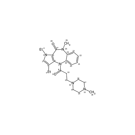 CCc1cn(CC)c2c1N(C(=O)CCN1CCN(C)CC1)c1ccccc1N(C)C2=O